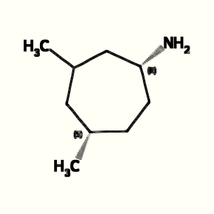 CC1C[C@@H](C)CC[C@@H](N)C1